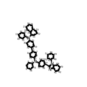 c1ccc(N(c2ccc(-c3ccc(N(c4ccccc4)c4cccc5ccccc45)cc3)cc2)c2ccc(-c3nc4ccccc4n3-c3ccccc3)cc2)cc1